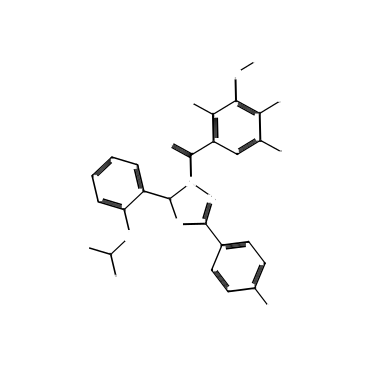 COc1c(F)c(F)cc(C(=O)N2N=C(c3ccc(F)cc3)SC2c2ccccc2OC(F)F)c1F